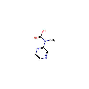 CN(C(=O)O)c1cnccn1